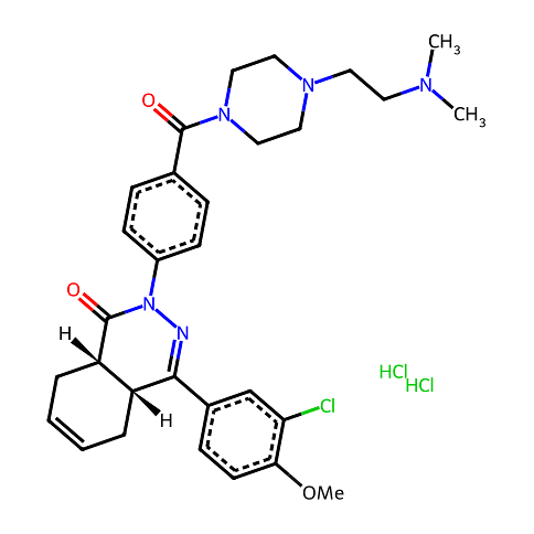 COc1ccc(C2=NN(c3ccc(C(=O)N4CCN(CCN(C)C)CC4)cc3)C(=O)[C@H]3CC=CC[C@@H]23)cc1Cl.Cl.Cl